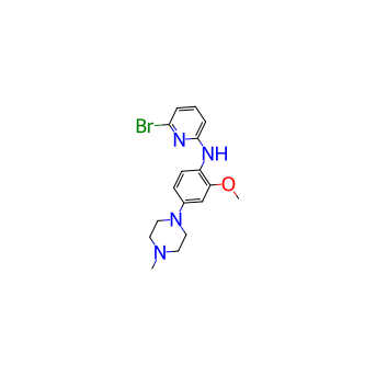 COc1cc(N2CCN(C)CC2)ccc1Nc1cccc(Br)n1